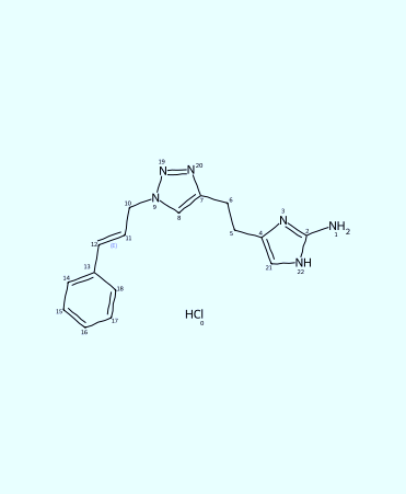 Cl.Nc1nc(CCc2cn(C/C=C/c3ccccc3)nn2)c[nH]1